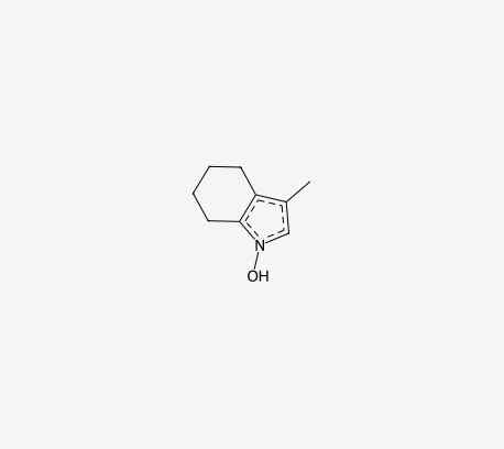 Cc1cn(O)c2c1CCCC2